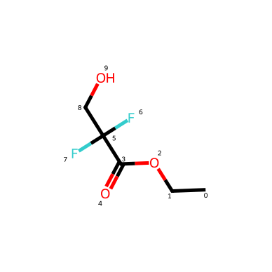 CCOC(=O)C(F)(F)CO